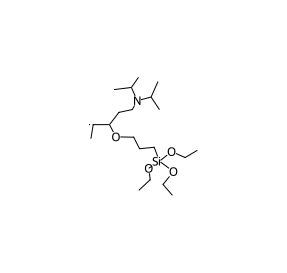 C[CH]C(CCN(C(C)C)C(C)C)OCCC[Si](OCC)(OCC)OCC